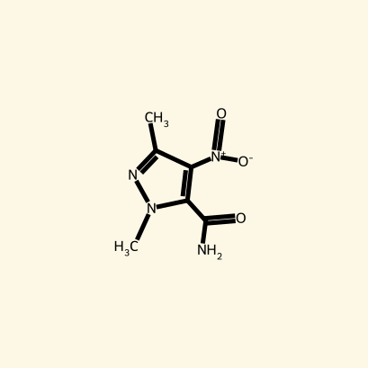 Cc1nn(C)c(C(N)=O)c1[N+](=O)[O-]